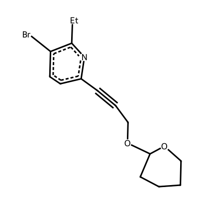 CCc1nc(C#CCOC2CCCCO2)ccc1Br